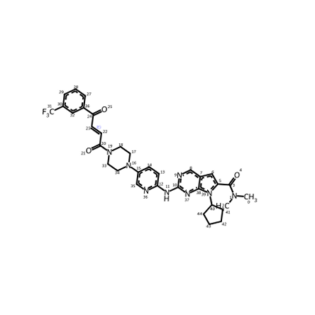 CN(C)C(=O)c1cc2cnc(Nc3ccc(N4CCN(C(=O)/C=C/C(=O)c5cccc(C(F)(F)F)c5)CC4)cn3)nc2n1C1CCCC1